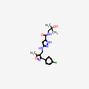 Cc1onc(-c2ccc(F)cc2)c1CNc1cc(C(=O)NCC(C)(C)O)[nH]n1